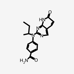 CCC(C)N(c1ccc(C(N)=O)cc1)c1ncc2ccc(=O)[nH]c2n1